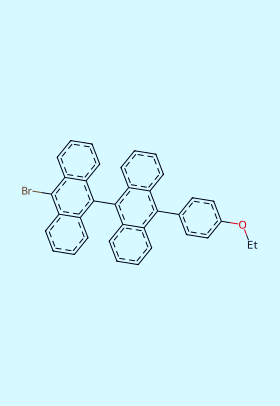 CCOc1ccc(-c2c3ccccc3c(-c3c4ccccc4c(Br)c4ccccc34)c3ccccc23)cc1